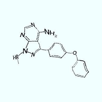 CBn1nc(-c2ccc(Oc3ccccc3)cc2)c2c(N)ncnc21